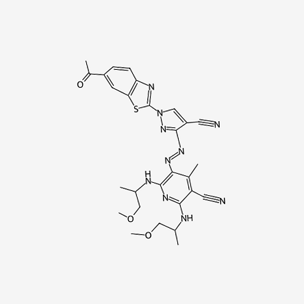 COCC(C)Nc1nc(NC(C)COC)c(N=Nc2nn(-c3nc4ccc(C(C)=O)cc4s3)cc2C#N)c(C)c1C#N